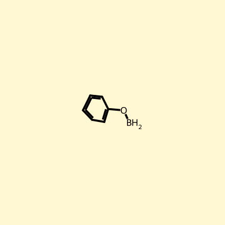 BOC1=CC=C=C=C1